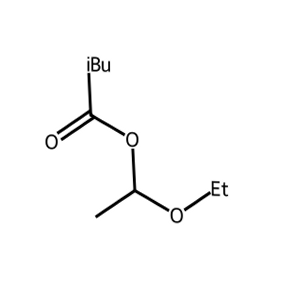 CCOC(C)OC(=O)C(C)CC